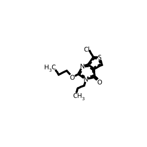 CCCOc1nc2c(Cl)scc2c(=O)n1CCC